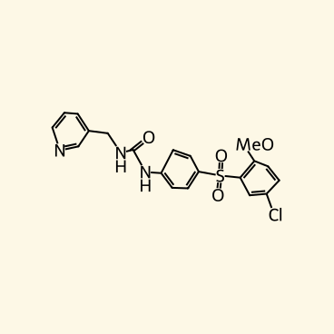 COc1ccc(Cl)cc1S(=O)(=O)c1ccc(NC(=O)NCc2cccnc2)cc1